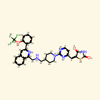 O=C1NC(=O)/C(=C\c2ccnc(N3CCC(CNCc4nc(-c5ccccc5OC(F)(F)F)cc5ccccc45)CC3)n2)S1